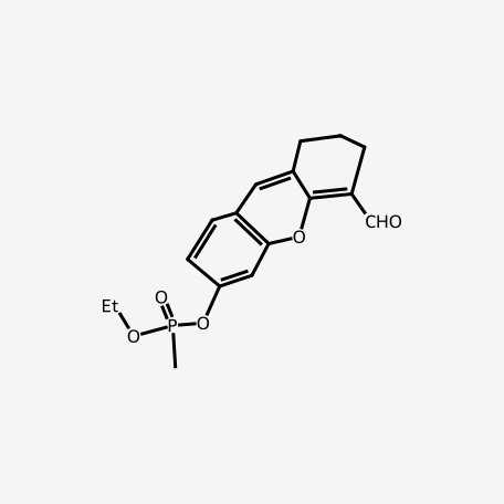 CCOP(C)(=O)Oc1ccc2c(c1)OC1=C(C=O)CCCC1=C2